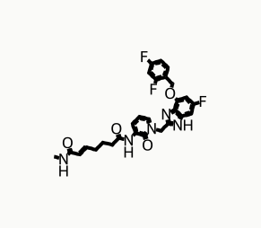 CNC(=O)/C=C/CCCC(=O)Nc1cccn(Cc2nc3c(OCc4ccc(F)cc4F)cc(F)cc3[nH]2)c1=O